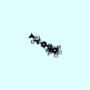 O=C(NC1CC1)C1CN(c2ccc(C3=NOC(c4cc(Cl)c(Cl)c(Cl)c4)(C(F)(F)F)C3)cc2)C1